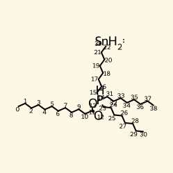 CCCCCCCCCCCC(=O)O[PH](CCCCCCCC)(CCCCCCCC)CCCCCCCC.[SnH2]